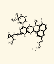 CCc1c(F)ccc2cc(OCOC)cc(C3CCc4c(nc(OCC5(CO)CC5)nc4N4CCC[C@@](C)(O)C4)C3)c12